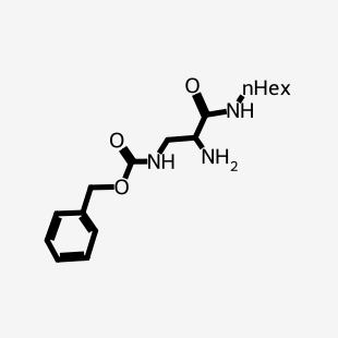 CCCCCCNC(=O)C(N)CNC(=O)OCc1ccccc1